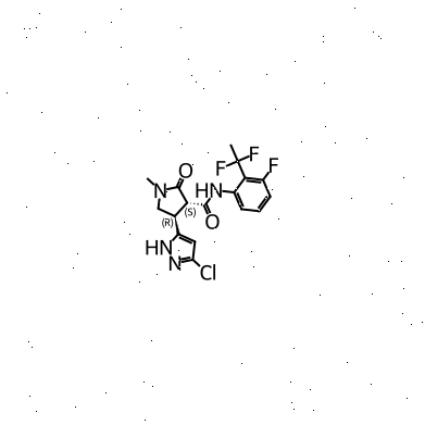 CN1C[C@H](c2cc(Cl)n[nH]2)[C@@H](C(=O)Nc2cccc(F)c2C(C)(F)F)C1=O